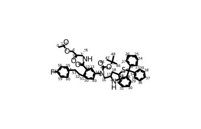 CC(=O)OCC(=O)[C@H](C)NC(=O)c1cc(N(CC2CC(SC(c3ccccc3)(c3ccccc3)c3ccccc3)CN2)C(=O)OC(C)(C)C)ccc1CCc1ccc(F)cc1